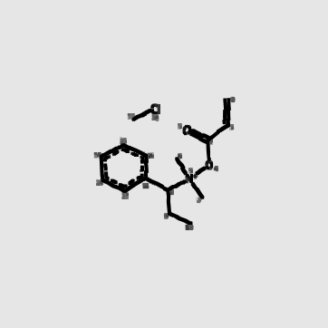 C=CC(=O)O[N+](C)(C)C(CC)c1ccccc1.CCl